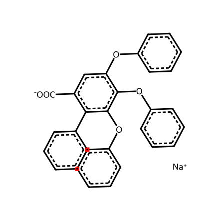 O=C([O-])c1cc(Oc2ccccc2)c(Oc2ccccc2)c(Oc2ccccc2)c1-c1ccccc1.[Na+]